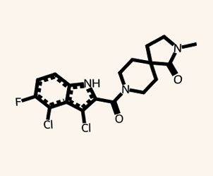 CN1CCC2(CCN(C(=O)c3[nH]c4ccc(F)c(Cl)c4c3Cl)CC2)C1=O